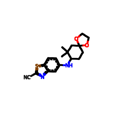 CC1(C)CC2(CCC1Nc1ccc3sc(C#N)nc3c1)OCCO2